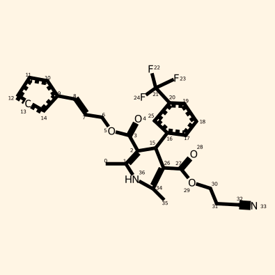 CC1=C(C(=O)OC/C=C/c2ccccc2)C(c2cccc(C(F)(F)F)c2)C(C(=O)OCCC#N)=C(C)N1